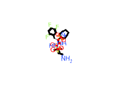 CC(C)(C)[S@+]([O-])N[C@H](Cc1cc(F)c(F)cc1F)C1CC2CCC(C1)N2S(=O)(=O)CCNS(=O)(=O)CCN